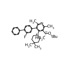 Cc1nc(C)c([C@H](OC(C)(C)C)C(=O)O)c(N2CCC(C)(C)CC2)c1-c1ccc(-c2ccccc2)c(F)c1